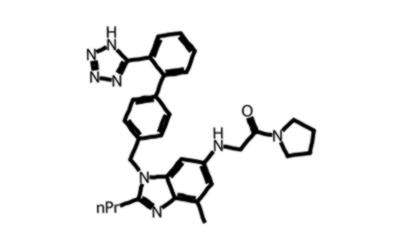 CCCc1nc2c(C)cc(NCC(=O)N3CCCC3)cc2n1Cc1ccc(-c2ccccc2-c2nnn[nH]2)cc1